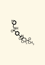 CC(=O)SCc1nc(-c2ccc(C(=O)NCc3cccnc3)cc2)oc1C